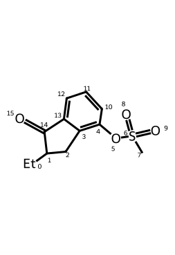 CCC1Cc2c(OS(C)(=O)=O)cccc2C1=O